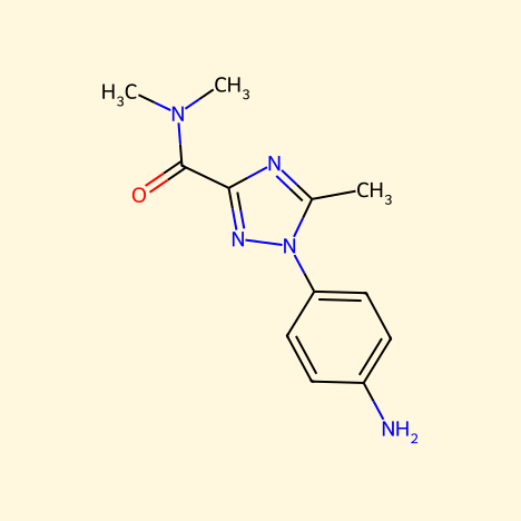 Cc1nc(C(=O)N(C)C)nn1-c1ccc(N)cc1